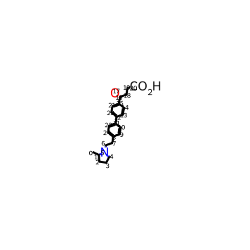 CC1CCCN1CCc1ccc(-c2ccc(C(=O)CCC(=O)O)cc2)cc1